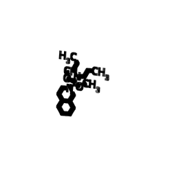 CCCN(CCC)[Si](OC)(OC)N1CCC2CCCCC2C1